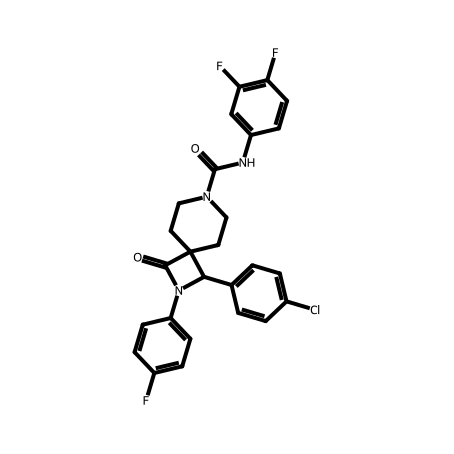 O=C(Nc1ccc(F)c(F)c1)N1CCC2(CC1)C(=O)N(c1ccc(F)cc1)C2c1ccc(Cl)cc1